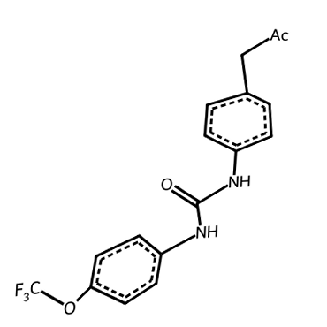 CC(=O)Cc1ccc(NC(=O)Nc2ccc(OC(F)(F)F)cc2)cc1